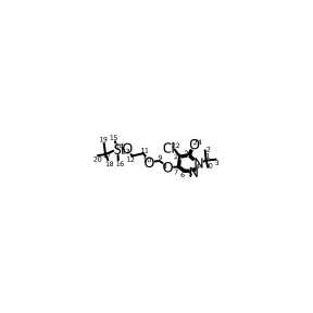 CC(C)(C)n1ncc(OCOCCO[Si](C)(C)C(C)(C)C)c(Cl)c1=O